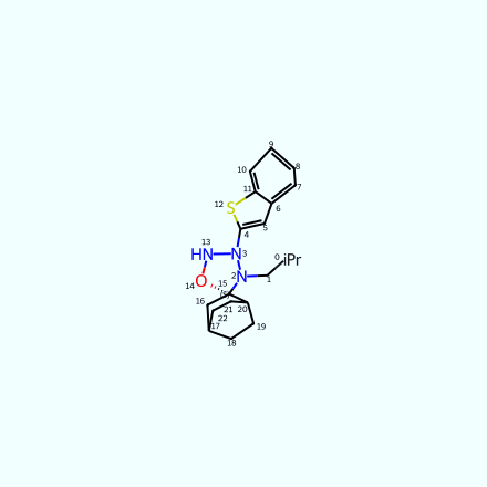 CC(C)CN1N(c2cc3ccccc3s2)NO[C@]12CC1CCC2CC1